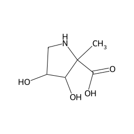 CC1(C(=O)O)NCC(O)C1O